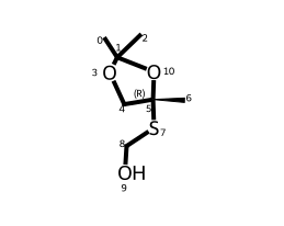 CC1(C)OC[C@@](C)(SCO)O1